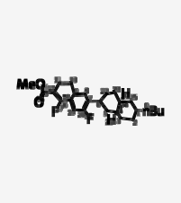 CCCCC1CC[C@@H]2CC(c3cc4ccc(C(=O)OC)c(F)c4cc3F)CC[C@H]2C1